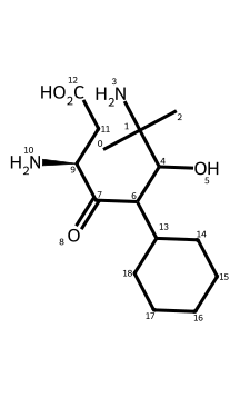 CC(C)(N)C(O)C(C(=O)[C@@H](N)CC(=O)O)C1CCCCC1